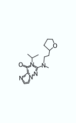 CC(C)n1c(N(C)CCC2CCCO2)nn2ccnc2c1=O